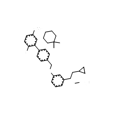 COc1ccc(F)c(-c2ccc(COc3cccc([C@@H](CC(=O)O)CC4CC4)c3)cc2[C@@H]2CCCCC2(C)C)c1